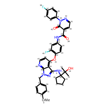 COc1ccc(Cn2nc(NC3(C(C)(C)O)CCCC3)c3c(Oc4ccc(NC(=O)c5ccnn(-c6ccc(F)cc6)c5=O)cc4F)ccnc32)cc1